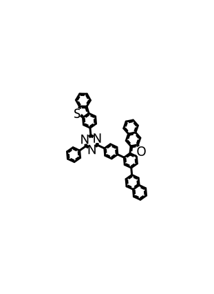 c1ccc(-c2nc(-c3ccc(-c4cc(-c5ccc6ccccc6c5)cc5oc6cc7ccccc7cc6c45)cc3)nc(-c3ccc4c(c3)sc3ccccc34)n2)cc1